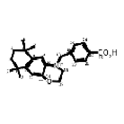 CC1(C)CCC(C)(C)c2cc3c(cc21)OCCN3Cc1ccc(C(=O)O)cc1